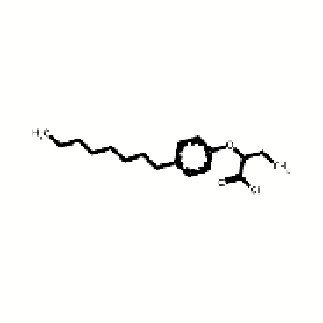 CCCCCCCCc1ccc(OC(CC)C(=O)O)cc1